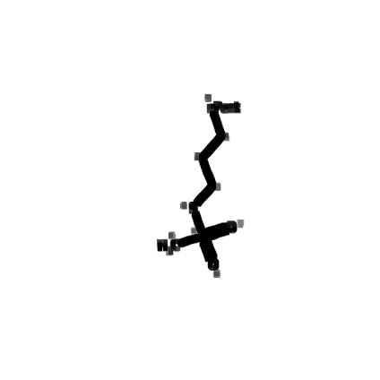 CCCCCCCCSS(C)(=O)=O